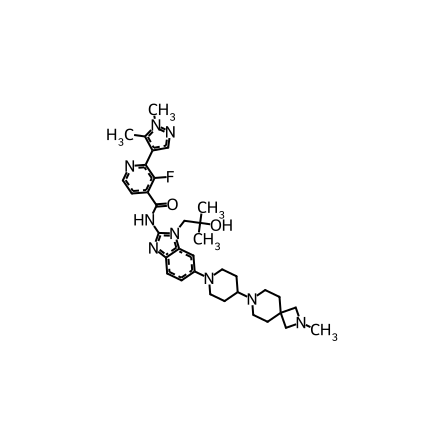 Cc1c(-c2nccc(C(=O)Nc3nc4ccc(N5CCC(N6CCC7(CC6)CN(C)C7)CC5)cc4n3CC(C)(C)O)c2F)cnn1C